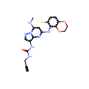 C#CCNC(=O)Nc1cnn2c(NC)cc(Nc3c(F)ccc4c3OCCO4)nc12